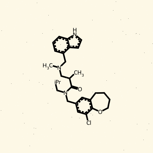 CC(C)CN(Cc1cc(Cl)c2c(c1)CCCCO2)C(=O)C(C)CN(C)Cc1cccc2[nH]ccc12